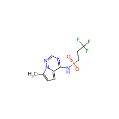 Cc1ccc2c(NS(=O)(=O)CCC(F)(F)F)ncnn12